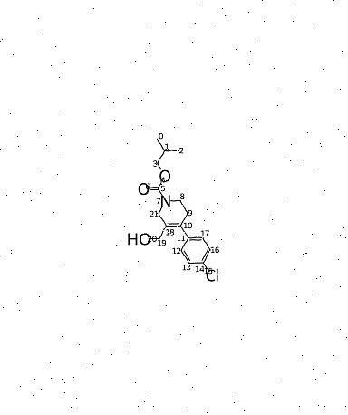 CC(C)COC(=O)N1CCC(c2ccc(Cl)cc2)=C(CO)C1